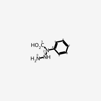 NNN(C(=O)O)c1ccccc1